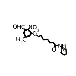 Cc1cc(C=O)c([N+](=O)[O-])c(OCCCCCCC(=O)NN2CCCC2)c1